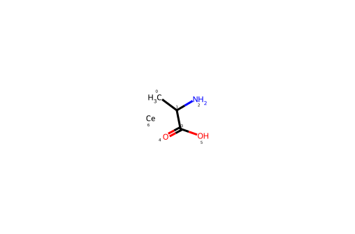 CC(N)C(=O)O.[Ce]